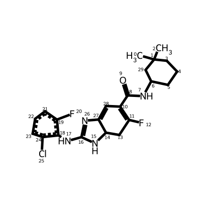 CC1(C)CCCC(NC(=O)C2=C(F)CC3NC(Nc4c(F)cccc4Cl)=NC3=C2)C1